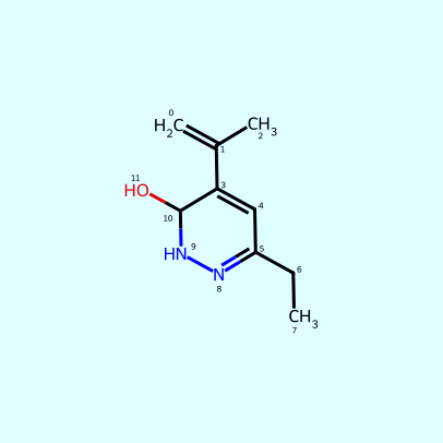 C=C(C)C1=CC(CC)=NNC1O